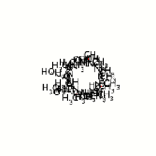 CC[C@@H]1NC(=O)[C@H]([C@H](O)[C@H](C)CCCCCCNC(C)=O)N(C)C(=O)[C@H](C(C)C)N(C)C(=O)[C@H](CC(C)C)N(C)C(=O)[C@H](CC(C)C)N(C)C(=O)[C@H](C)NC(=O)[C@@H](C)NC(=O)[C@@H](CC(C)C)N(C)C(=O)[C@@H](C(C)C)NC(=O)[C@H](CC(C)C)N(C)C(=O)[C@@H](SCCCCCCO)N(C)C1=O